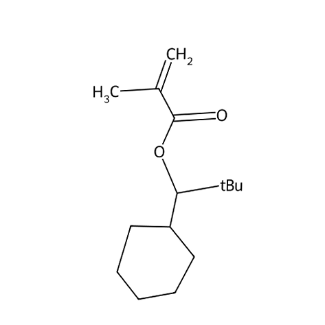 C=C(C)C(=O)OC(C1CCCCC1)C(C)(C)C